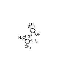 COc1ccc(O)c(CNc2c(C)cc(C)cc2C)c1